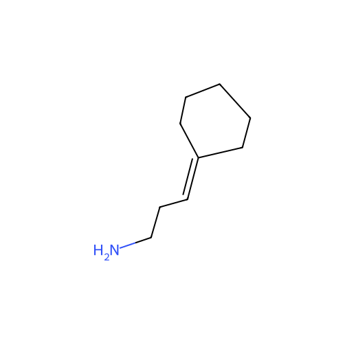 NCCC=C1CCCCC1